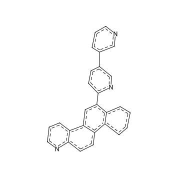 c1cncc(-c2ccc(-c3cc4c5cccnc5ccc4c4ccccc34)nc2)c1